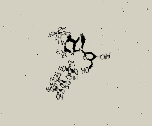 Nc1nc2c(ncn2C2C[C@H](O)[C@@H](CO)O2)c(=O)[nH]1.O=P(O)(O)O.O=P(O)(O)O.O=P(O)(O)O.O=P(O)(O)O